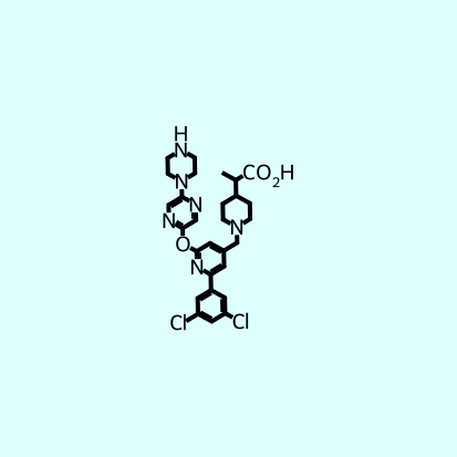 CC(C(=O)O)C1CCN(Cc2cc(Oc3cnc(N4CCNCC4)cn3)nc(-c3cc(Cl)cc(Cl)c3)c2)CC1